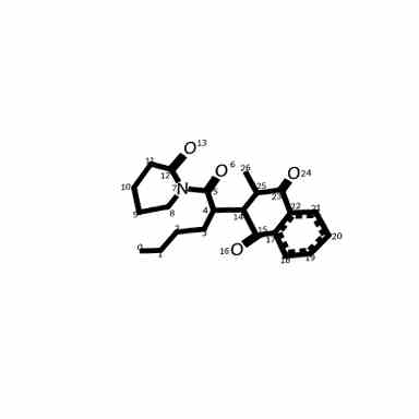 CCCCC(C(=O)N1CCCCC1=O)C1C(=O)c2ccccc2C(=O)C1C